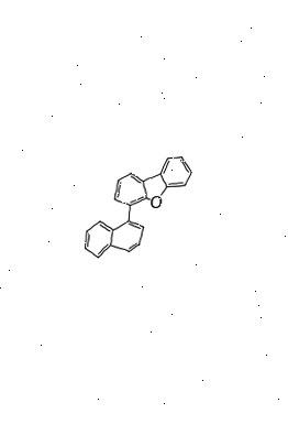 c1ccc2c(-c3cccc4c3oc3ccccc34)cccc2c1